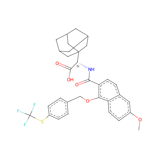 COc1ccc2c(OCc3ccc(SC(F)(F)F)cc3)c(C(=O)N[C@H](C(=O)O)C34CC5CC(CC(C5)C3)C4)ccc2c1